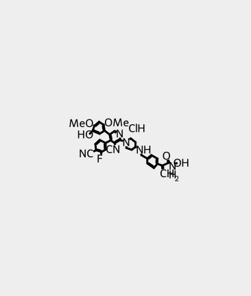 C=C(C(=O)NO)c1ccc(CNC2CCN(c3ncc(-c4cc(O)c(OC)cc4OC)c(-c4ccc(C#N)c(F)c4)c3C#N)CC2)cc1.Cl